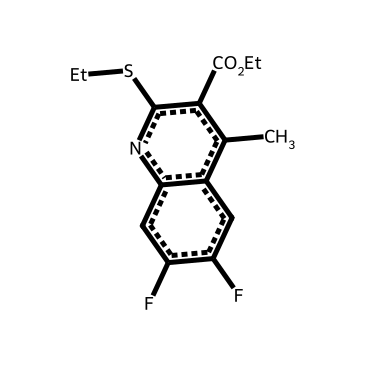 CCOC(=O)c1c(SCC)nc2cc(F)c(F)cc2c1C